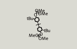 COP(OC)Oc1ccc(C(C)(C)c2ccc(OP(OC)OC)c(C(C)(C)C)c2)cc1C(C)(C)C